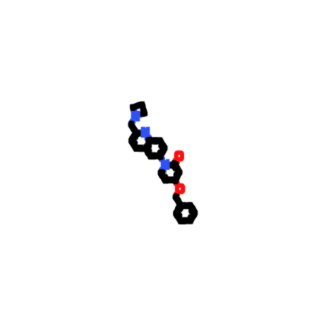 O=c1cc(OCc2ccccc2)ccn1-c1ccc2nc(CN3CCC3)ccc2c1